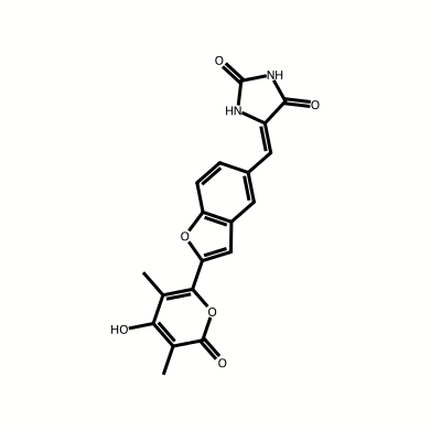 Cc1c(-c2cc3cc(/C=C4\NC(=O)NC4=O)ccc3o2)oc(=O)c(C)c1O